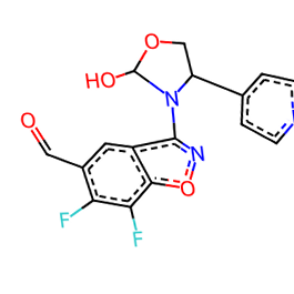 O=Cc1cc2c(N3C(O)OCC3c3ccncc3)noc2c(F)c1F